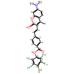 CCN(CC)c1ccc2c(C)c(/C=C/c3ccc(C(=O)Oc4c(F)c(F)c(S)c(F)c4F)cc3)c(=O)oc2c1